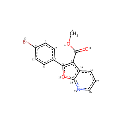 COC(=O)c1c(-c2ccc(Br)cc2)oc2ncccc12